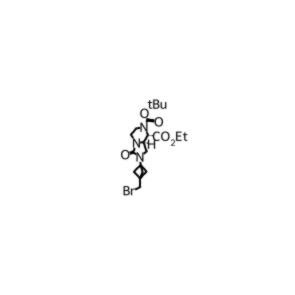 CCOC(=O)[C@@H]1[C@H]2CN(C34CC(CBr)(C3)C4)C(=O)N2CCN1C(=O)OC(C)(C)C